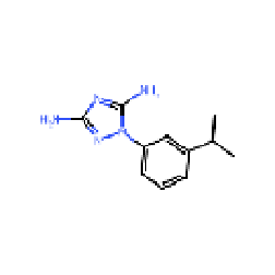 CC(C)c1cccc(-n2nc(N)nc2N)c1